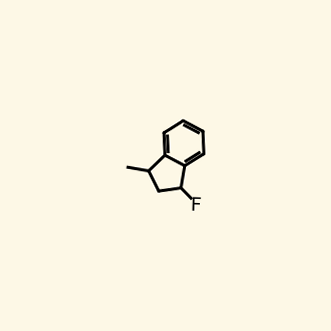 CC1CC(F)c2ccccc21